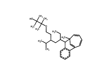 CCC(CC(CCOC(C)(C)C(C)(C)O)C(C)C)N1c2ccccc2C2=CC1(C)C=CC=C2